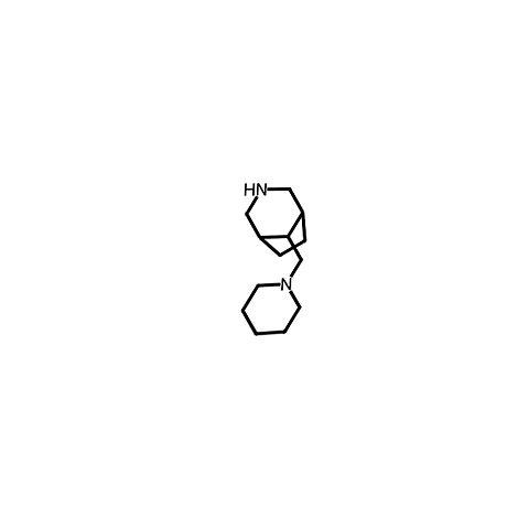 C1CCN(CC2C3CCC2CNC3)CC1